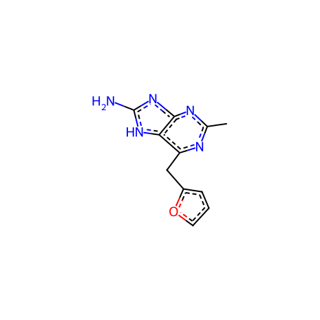 Cc1nc(Cc2ccco2)c2[nH]c(N)nc2n1